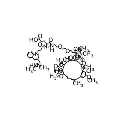 CNN(C)CC1=Cc2ccccc2N(CCC(=O)N[C@@H](CCC(=O)O)C(=O)NCCOCCOCCP(=O)(O)N(C)[C@@H](C)C(=O)O[C@H]2CC(=O)N(C)c3cc(cc(OC)c3Cl)C/C(C)=C/C=C/[C@@H](OC)[C@@]3(O)C[C@H](OC(=O)N3)[C@@H](C)[C@@H]3O[C@]23C)C1